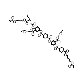 C=CC(=O)OCCCCOC(=O)C(CCC)CCC(=O)Oc1ccc(OC(=O)C2CCC(C(=O)Oc3ccc(OC(=O)C4CCC(C(=O)OCCCCOC(=O)C=C)CC4)c(C(=O)OCCOCC)c3)CC2)cc1C(=O)OCCOCC